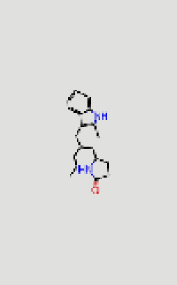 CCCC(Cc1c(C)[nH]c2ccccc12)CC1CCC(=O)N1